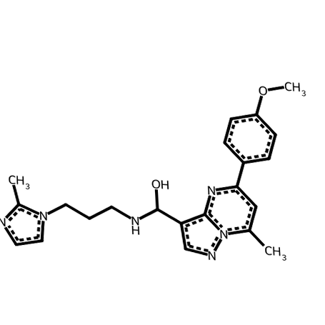 COc1ccc(-c2cc(C)n3ncc(C(O)NCCCn4ccnc4C)c3n2)cc1